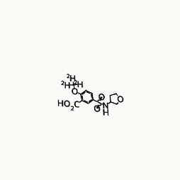 [2H]C([2H])([2H])Oc1ccc(S(=O)(=O)NC2CCOC2)cc1C(=O)O